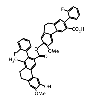 COc1cc2c(cc1O)-c1cc(C(=O)Oc3cc4c(cc3OC)-c3cc(C(=O)O)c(-c5ccccc5F)cc3CC4)c(-c3ccccc3F)c(C)c1CC2